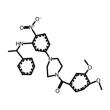 COc1ccc(C(=O)N2CCN(c3ccc([N+](=O)[O-])c(NC(C)c4ccccc4)c3)CC2)cc1OC